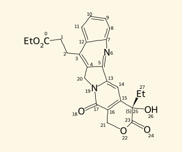 CCOC(=O)CCc1c2c(nc3ccccc13)-c1cc3c(c(=O)n1C2)COC(=O)[C@]3(O)CC